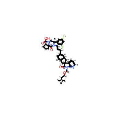 C[C@@]1(c2cc(F)cc(F)c2)CN(C(=O)O)C2(CCCC2)C(=O)N1C/C=C/c1ccc2c(c1)CC1(C2)C(=O)N(COCC[Si](C)(C)C)c2ncccc21